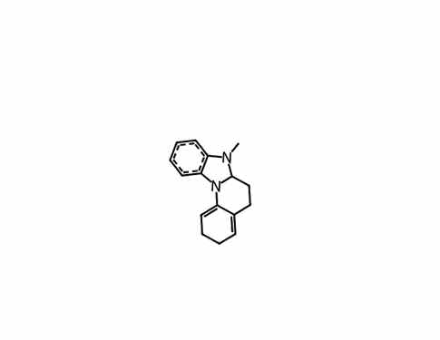 CN1c2ccccc2N2C3=CCCC=C3CCC12